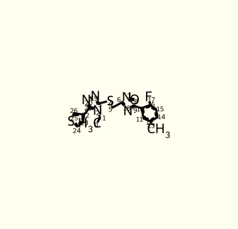 CCn1c(SCc2noc(-c3cc(C)ccc3F)n2)nnc1-c1ccsc1